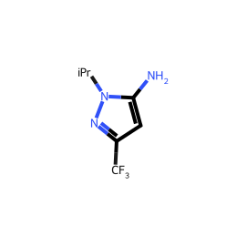 CC(C)n1nc(C(F)(F)F)cc1N